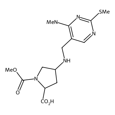 CNc1nc(SC)ncc1CNC1CC(C(=O)O)N(C(=O)OC)C1